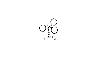 C=C(C)COCC(=C(C(=O)OC1CCCCCCCCC1)C1CCCCCCCCC1)C1CCCCCCCCC1